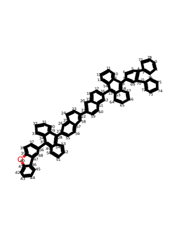 c1ccc(-c2ccc(-c3c4ccccc4c(-c4ccc5cc(-c6ccc7cc(-c8c9ccccc9c(-c9ccc%10oc%11ccccc%11c%10c9)c9ccccc89)ccc7c6)ccc5c4)c4ccccc34)cc2-c2ccccc2)cc1